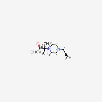 C#CCN1CCN(C(C)(C)C(=O)C=O)CC1